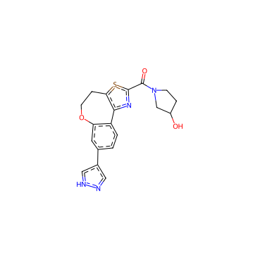 O=C(c1nc2c(s1)CCOc1cc(-c3cn[nH]c3)ccc1-2)N1CCC(O)C1